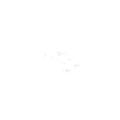 CCCC[C@@](C)(OC)[C@H](O)C#C[Si](C)(C)C